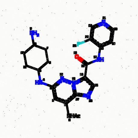 CC(=O)Nc1cc(NC2CCC(N)CC2)nn2c(C(=O)Nc3ccncc3F)cnc12